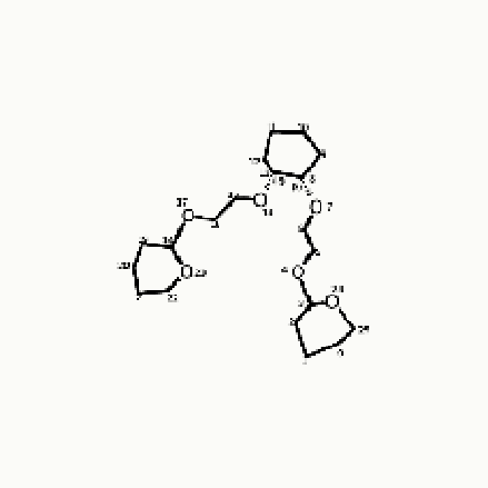 C1CCC(OCCO[C@H]2CCCC[C@H]2OCCOC2CCCCO2)OC1